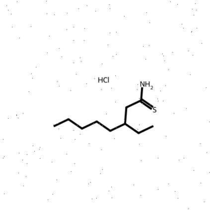 CCCCCC(CC)CC(N)=S.Cl